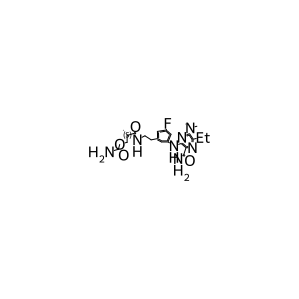 CCc1nc(C(N)=O)c(Nc2cc(F)cc(CCNC(=O)[C@@H](C)COC(N)=O)c2)nc1N(C)C